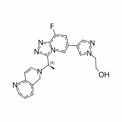 C[C@H](c1nnc2c(F)cc(-c3cnn(CCO)c3)cn12)N1C=Cc2ncccc2C1